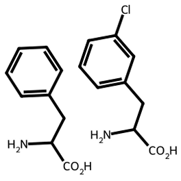 NC(Cc1cccc(Cl)c1)C(=O)O.NC(Cc1ccccc1)C(=O)O